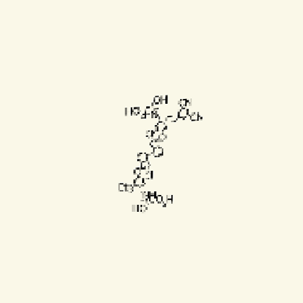 CCOc1cc(O[C@H]2CCc3c(-c4cccc5c4CC[C@@H]5Oc4cc(OCc5cc(C#N)cc(C#N)c5)c(CNC(C)(CO)C(=O)O)cc4Cl)cccc32)c(Cl)cc1CNC(C)(CO)C(=O)O